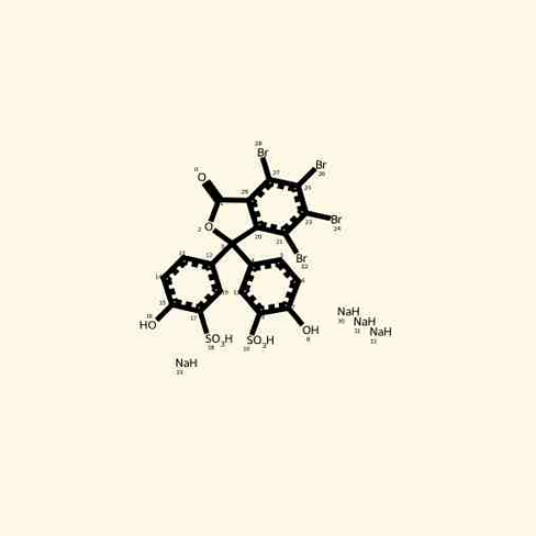 O=C1OC(c2ccc(O)c(S(=O)(=O)O)c2)(c2ccc(O)c(S(=O)(=O)O)c2)c2c(Br)c(Br)c(Br)c(Br)c21.[NaH].[NaH].[NaH].[NaH]